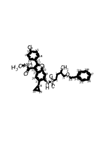 C=C(CCS(=O)(=O)Nc1cc2oc(-c3ccc(Cl)cc3)c(C(=O)NC)c2cc1C1CC1)COCc1ccccc1